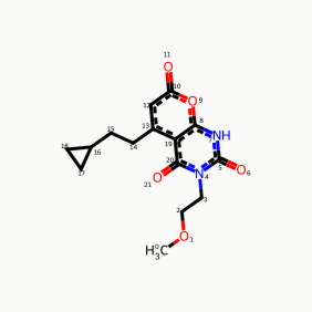 COCCn1c(=O)[nH]c2oc(=O)cc(CCC3CC3)c2c1=O